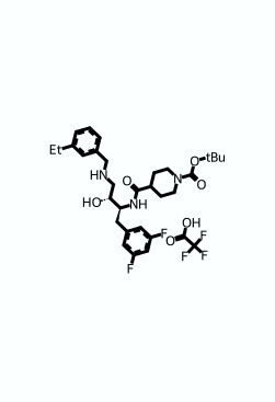 CCc1cccc(CNC[C@@H](O)[C@H](Cc2cc(F)cc(F)c2)NC(=O)C2CCN(C(=O)OC(C)(C)C)CC2)c1.O=C(O)C(F)(F)F